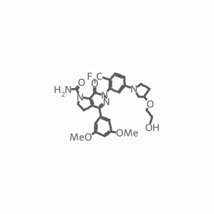 COc1cc(OC)cc(-c2nn(-c3cc(N4CCC(OCCO)C4)ccc3C(F)(F)F)c(=O)c3c2CCN3C(N)=O)c1